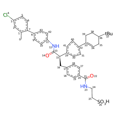 Cc1cc(Cl)ccc1-c1ccc(NC(=O)[C@H](Cc2ccc(C(=O)NCCS(=O)(=O)O)cc2)c2ccc(C3=CCC(C(C)(C)C)CC3)cc2)cc1